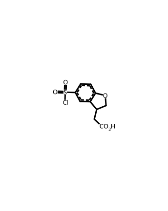 O=C(O)CC1COc2ccc(S(=O)(=O)Cl)cc21